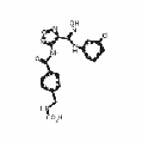 O=C(O)NCc1ccc(C(=O)Nc2nonc2/C(=N\O)Nc2cccc(Cl)c2)cc1